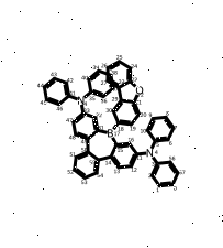 c1ccc(N(c2ccccc2)c2ccc3c(c2)B(c2ccc4oc5ccccc5c4c2)c2cc(N(c4ccccc4)c4ccccc4)ccc2-c2ccccc2-3)cc1